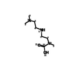 CN(C)CCNCCN(C)C(=O)O